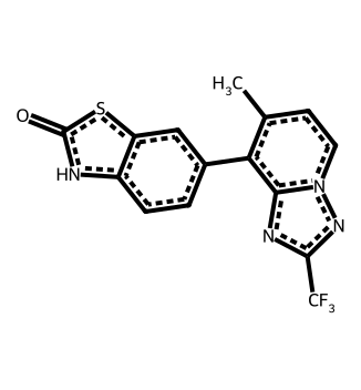 Cc1ccn2nc(C(F)(F)F)nc2c1-c1ccc2[nH]c(=O)sc2c1